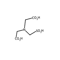 O=C(O)CN(CC(=O)O)CS(=O)(=O)O